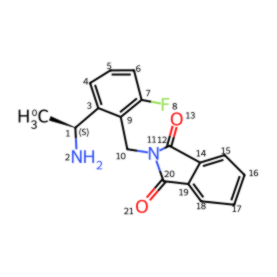 C[C@H](N)c1cccc(F)c1CN1C(=O)c2ccccc2C1=O